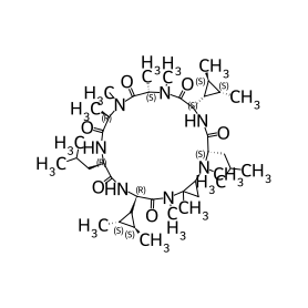 CC(C)C[C@H]1NC(=O)[C@@H](C)N(C)C(=O)[C@H](C)N(C)C(=O)[C@H](C2[C@@H](C)[C@@H]2C)NC(=O)[C@H](CC(C)C)N(C)C2CC2(C)N(C)C(=O)[C@@H](C2[C@@H](C)[C@@H]2C)NC1=O